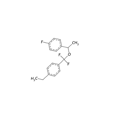 CCc1ccc(C(F)(F)OC(C)c2ccc(F)cc2)cc1